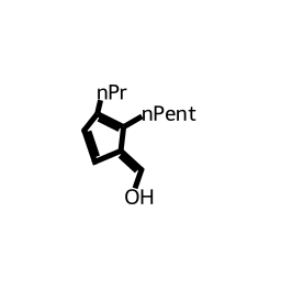 CCCCCC1=C(CCC)C=CC1=CO